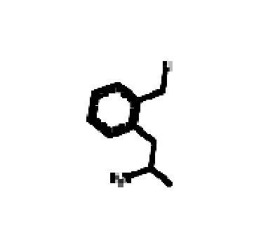 CC(N)Cc1ccccc1CCl